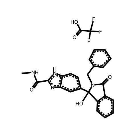 CNC(=O)c1nc2cc(C3(O)c4ccccc4C(=O)N3Cc3ccccc3)ccc2[nH]1.O=C(O)C(F)(F)F